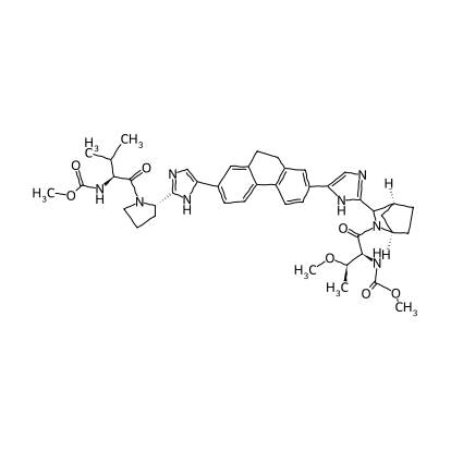 COC(=O)N[C@H](C(=O)N1CCC[C@H]1c1ncc(-c2ccc3c(c2)CCc2cc(-c4cnc(C5[C@H]6CC[C@H](C6)N5C(=O)[C@@H](NC(=O)OC)[C@@H](C)OC)[nH]4)ccc2-3)[nH]1)C(C)C